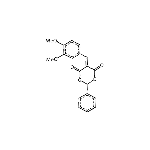 COc1ccc(C=C2C(=O)OC(c3ccccc3)OC2=O)cc1OC